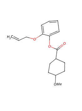 C=CCOc1ccccc1OC(=O)C1CCC(OC)CC1